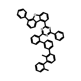 Cc1ccccc1-c1cccc(-c2cccc(-c3ccccc3-c3nc(-c4ccccc4)nc(-c4cccc5oc6c(-c7ccccc7)cccc6c45)n3)c2)c1C